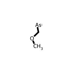 COC[As]